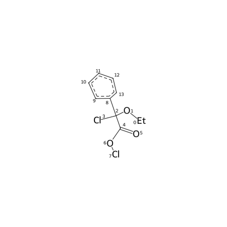 CCOC(Cl)(C(=O)OCl)c1ccccc1